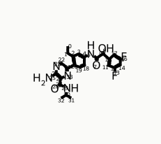 CCc1cc(NC(=O)[C@@H](O)c2cc(F)cc(F)c2)ccc1-c1cnc(N)c(C(=O)NC(C)C)n1